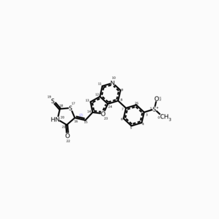 C[S+]([O-])c1cccc(-c2cncc3cc(/C=C4\SC(=S)NC4=O)oc23)c1